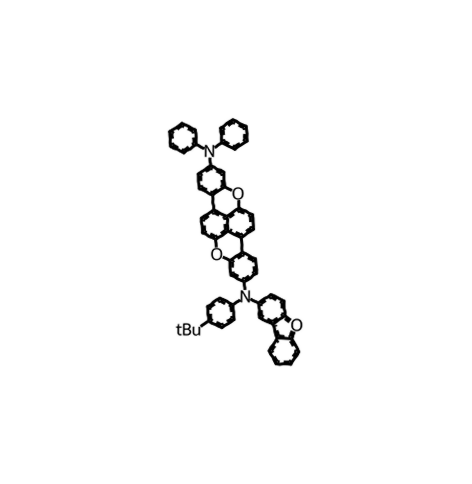 CC(C)(C)c1ccc(N(c2ccc3c(c2)Oc2ccc4c5c(ccc-3c25)Oc2cc(N(c3ccccc3)c3ccccc3)ccc2-4)c2ccc3oc4ccccc4c3c2)cc1